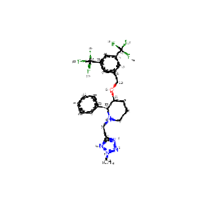 Cn1nnc(CN2CCC[C@H](OCc3cc(C(F)(F)F)cc(C(F)(F)F)c3)[C@@H]2c2ccccc2)n1